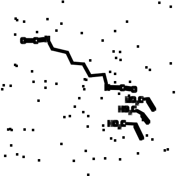 C=CC(=O)O.C=CC(=O)O.C=CC(=O)O.O=C=NCCCCCCN=C=O